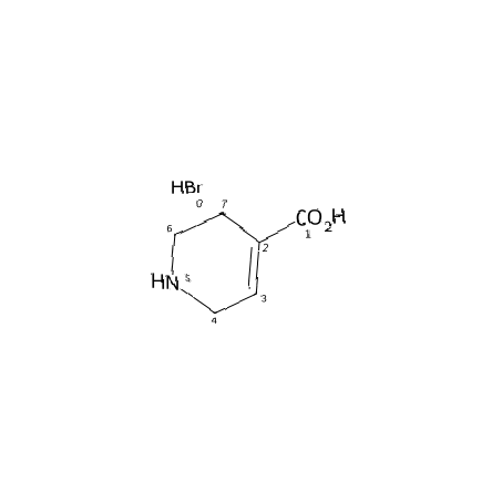 Br.O=C(O)C1=CCNCC1